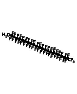 CC(F)(F)C(F)(F)C(F)(F)C(F)(F)C(F)(F)C(F)(F)C(F)(F)C(F)(F)C(F)(F)C(F)(F)C(F)(F)C(F)(F)C(F)(F)C(F)(F)C(F)(F)C(F)(F)C(F)(F)C(F)(F)C(F)(F)C(F)(F)C(F)(F)C(F)(F)F